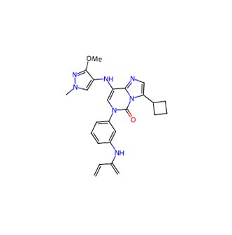 C=CC(=C)Nc1cccc(-n2cc(Nc3cn(C)nc3OC)c3ncc(C4CCC4)n3c2=O)c1